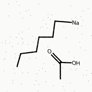 CC(=O)O.CCCCC[CH2][Na]